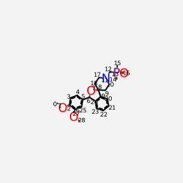 COc1ccc(C2OC3(CCN(CP(C)(C)=O)CC3)c3ccccc32)cc1OC